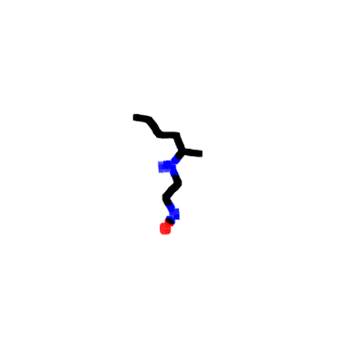 CCCCC(C)NCCN=O